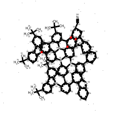 CC(C)(C)c1cc(-c2ccccc2)c(N2c3cc(-n4c5ccc(C(C)(C)C)cc5c5cc(C(C)(C)C)ccc54)ccc3B3c4ccc(-c5c(-c6cccc7sc8ccccc8c67)cccc5-n5c6ccc(C(C)(C)C)cc6c6cc(C(C)(C)C)ccc65)cc4N(c4cccc(-c5ccccc5)c4)c4cc(-n5c6ccccc6c6cc(C#N)ccc65)cc2c43)c(-c2ccccc2)c1